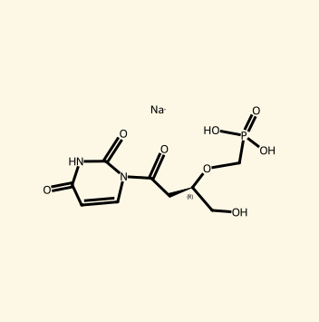 O=C(C[C@H](CO)OCP(=O)(O)O)n1ccc(=O)[nH]c1=O.[Na]